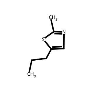 CCCc1cnc(C)s1